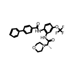 C[C@@H](C(=O)Nc1cc(OC(F)(F)F)ccc1NC(=O)c1ccc(-c2ccccc2)cc1)N1CCOCC1